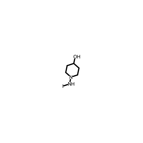 OC1CCN(NI)CC1